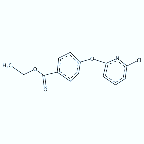 CCOC(=O)c1ccc(Oc2cccc(Cl)n2)cc1